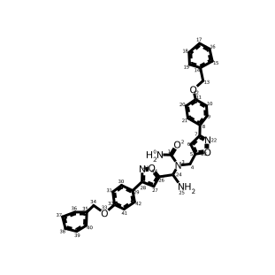 NC(=O)N(Cc1cc(-c2ccc(OCc3ccccc3)cc2)no1)C(N)c1cc(-c2ccc(OCc3ccccc3)cc2)no1